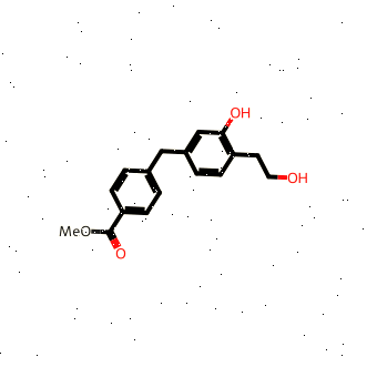 COC(=O)c1ccc(Cc2ccc(CCO)c(O)c2)cc1